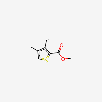 [CH2]c1c(C)csc1C(=O)OC